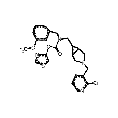 O=C(Oc1cscn1)N(Cc1cccc(OC(F)(F)F)c1)CC1C2CN(Cc3cccnc3Cl)CC21